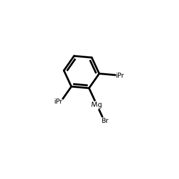 CC(C)c1cccc(C(C)C)[c]1[Mg][Br]